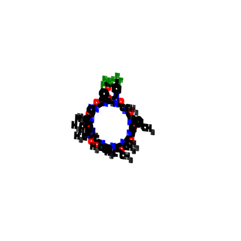 CC[C@H](C)[C@@H]1NC(=O)[C@H](C)N(C)C(=O)C[C@@H](C(=O)N(C)C)N(C)C(=O)[C@H]([C@@H](C)CC)N(C)C(=O)C2(CCCC2)NC(=O)[C@H](Cc2ccc(OC(F)(F)F)cc2)N(C)C(=O)[C@H](CCc2ccc(C(F)(F)F)c(Cl)c2)NC(=O)CN(C)C(=O)[C@H](Cc2ccc(C)cc2)N(C)C(=O)[C@@H]2CCN2C(=O)[C@H](C)N(C)C1=O